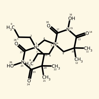 CCC[N+]1(C[N+]2(CCC)CC(C)(C)C(=O)N(O)C2=O)CC(C)(C)C(=O)N(O)C1=O